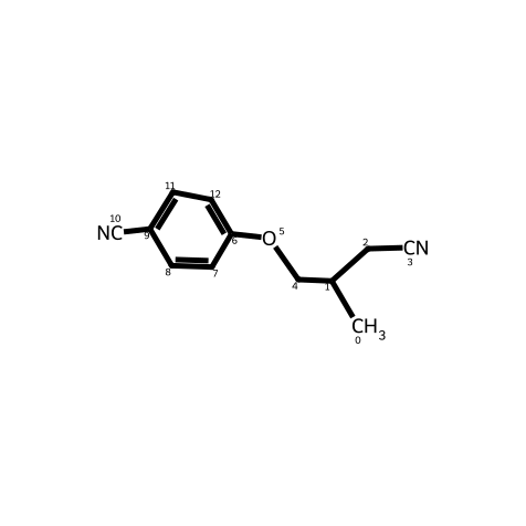 CC(CC#N)COc1ccc(C#N)cc1